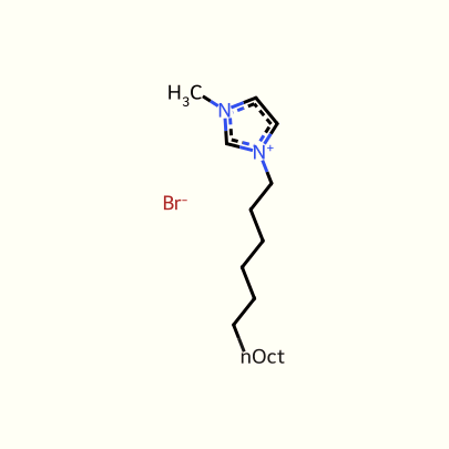 CCCCCCCCCCCCCC[n+]1ccn(C)c1.[Br-]